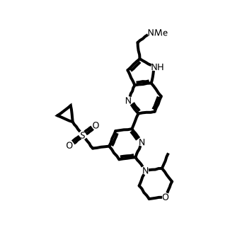 CNCc1cc2nc(-c3cc(CS(=O)(=O)C4CC4)cc(N4CCOCC4C)n3)ccc2[nH]1